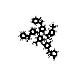 Cc1cc(-c2csc3c2C=CCC3C)cc(C)c1N1c2cc(C(C)C)cc3c2B(c2ccc(-c4csc5ccccc45)cc2N3c2cccc(-c3csc4ccccc34)c2)c2c1sc1ccc(C(C)(C)C)cc21